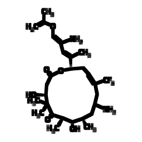 C=C(C)O/C=C(N)/C=C(\C)[C@@H]1C/C=C(/C(F)(F)F)CC(N)C[C@H](C)[C@H](O)[C@@H](C)C(=O)C(C)(C)[C@@H](O)CC(=O)O1